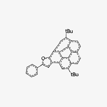 CC(C)(C)c1cc2c3cc(-c4ccccc4)oc3c3cc(C(C)(C)C)c4ccc5ccc1c1c5c4c3c21